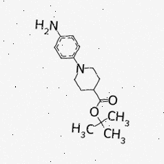 CC(C)(C)OC(=O)C1CCN(c2ccc(N)cc2)CC1